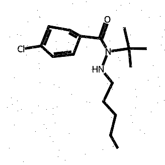 CCCCCNN(C(=O)c1ccc(Cl)cc1)C(C)(C)C